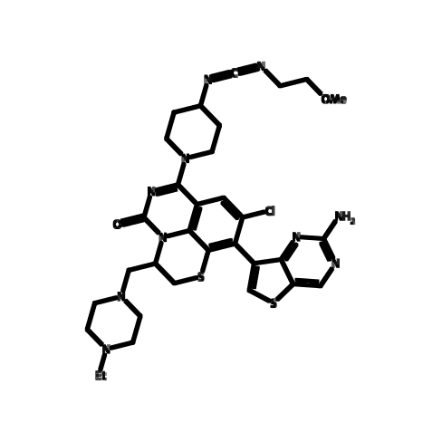 CCN1CCN(CC2CSc3c(-c4csc5cnc(N)nc45)c(Cl)cc4c(N5CCC(N=C=NCCOC)CC5)nc(=O)n2c34)CC1